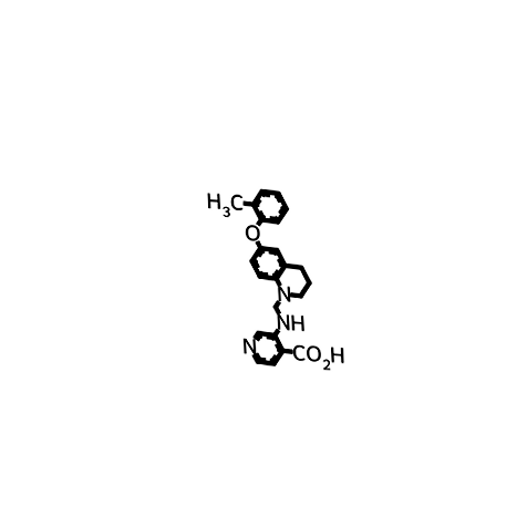 Cc1ccccc1Oc1ccc2c(c1)CCCN2CNc1cnccc1C(=O)O